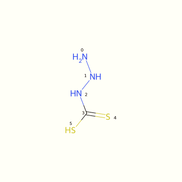 NNNC(=S)S